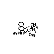 CCOCc1nc2c(NC(C)C)nc3c(c2n1CC(C)(C)O)CCCC3